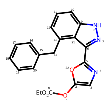 CCOC(=O)Oc1cnc(-c2n[nH]c3cccc(Cc4ccccc4)c23)o1